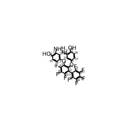 Nc1cc(Oc2c(F)c(F)c(F)c(-c3c(F)c(F)c(F)c(F)c3F)c2Oc2ccc(O)c(N)c2)ccc1O